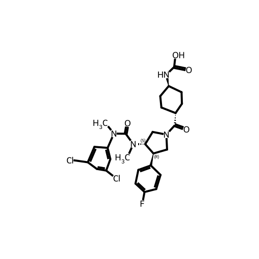 CN(C(=O)N(C)[C@@H]1CN(C(=O)[C@H]2CC[C@H](NC(=O)O)CC2)C[C@H]1c1ccc(F)cc1)c1cc(Cl)cc(Cl)c1